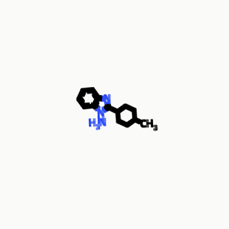 CC1CCC(c2nc3ccccc3[nH]2)CC1.N